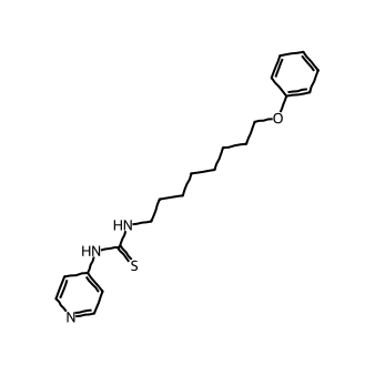 S=C(NCCCCCCCCOc1ccccc1)Nc1ccncc1